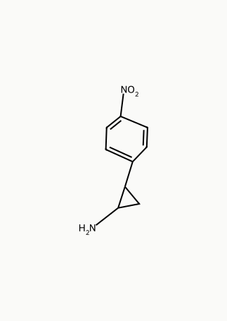 NC1CC1c1ccc([N+](=O)[O-])cc1